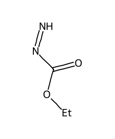 CCOC(=O)N=N